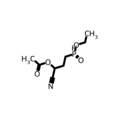 CCO[PH](=O)CCC(C#N)OC(C)=O